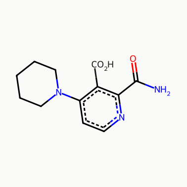 NC(=O)c1nccc(N2CCCCC2)c1C(=O)O